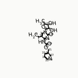 C=Cc1cn([C@@H]2O[C@H](C)C(O)C2O)c(=O)nc1NC(=O)OCc1cccnc1